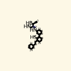 B=C(C#C)/C(C=N)=C/NC1C=CC=C(C2=C(S)C(CCC3CCCCC3)=CCC2)C1